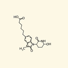 Cn1c(=O)n(C2CCC(O)NC2=O)c2ccc(CCCCCC(=O)O)cc21